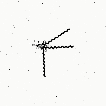 CCCCCCCCCCCCCCCC(=O)C(O)(C(=O)CCCCCCCCCCCCCCC)[C@](O)(C(=O)CCCCCCCCCCCCCCC)C(=O)N[C@@H](CS)C(=O)O